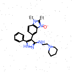 CCc1n(CC)c2ccc(-c3c(NCCN4CCCCC4)n[nH]c3-c3ccccc3)cc2[n+]1[O-]